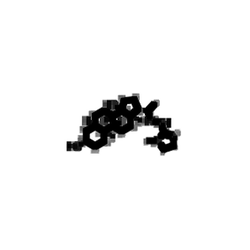 CC(NNC1=NCCN1C)[C@H]1CC[C@]2(O)[C@@H]3CC[C@@H]4C[C@@H](O)CC[C@]4(C)[C@H]3CC[C@]12C